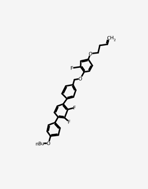 C=CCCOc1ccc(OCc2ccc(-c3ccc(-c4ccc(OCCCC)cc4)c(F)c3F)cc2)c(F)c1